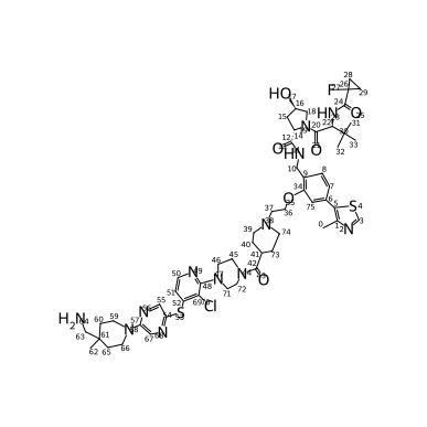 Cc1ncsc1-c1ccc(CNC(=O)[C@@H]2C[C@@H](O)CN2C(=O)[C@@H](NC(=O)C2(F)CC2)C(C)(C)C)c(OCCN2CCC(C(=O)N3CCN(c4nccc(Sc5cnc(N6CCC(C)(CN)CC6)cn5)c4Cl)CC3)CC2)c1